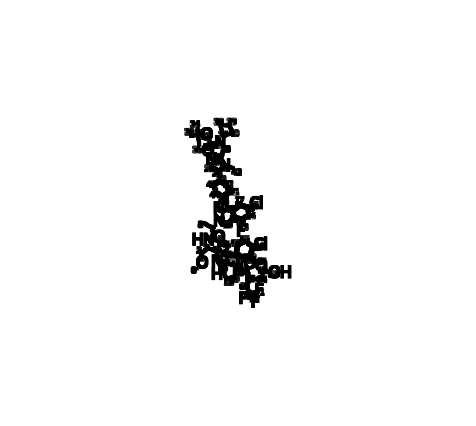 COCC(NC(=O)C(C)NCc1c(F)cc(Cl)cc1Oc1ccc(-c2cnc(CN(C(=O)OC(C)(C)C)C3CCC3)n2C)cc1)C(=O)N[C@@]1(Cc2ccc(Cl)cc2)CCCN(C(=O)C(CC(=O)O)CC(F)(F)F)C1